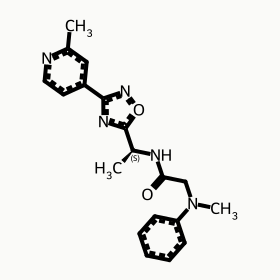 Cc1cc(-c2noc([C@H](C)NC(=O)CN(C)c3ccccc3)n2)ccn1